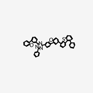 c1ccc(-c2nc(-c3ccc4c(c3)oc3ccc(-c5cccc6c5sc5cccc(-c7ccccc7)c56)cc34)nc(-c3cccc4c3oc3ccccc34)n2)cc1